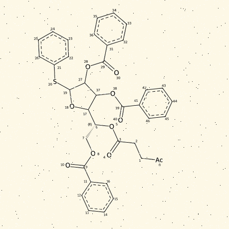 CC(=O)CCC(=O)O[C@H](COC(=O)c1ccccc1)C1OC(Sc2ccccc2)C(OC(=O)c2ccccc2)C1OC(=O)c1ccccc1